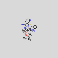 CCc1c(C#N)c(SC(C(N)=O)c2ccccc2)nc(N2CCC(OP(OC(C)(C)C)OC(C)(C)C)C2)c1C#N